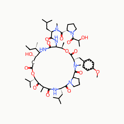 CC[C@H](C)[C@H]1NC(=O)C(NC(=O)[C@@H](CC(C)C)N(C)C(=O)[C@@H]2CCCN2C(=O)C(C)O)[C@@H](C)OC(=O)[C@H](Cc2ccc(OC)cc2)N(C)C(=O)C2CCCN2C(=O)[C@H](CC(C)C)NC(=O)C(C)C(=O)[C@H](C(C)C)OC(=O)C[C@@H]1O